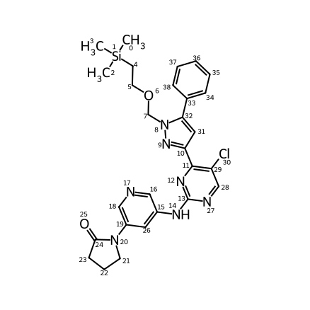 C[Si](C)(C)CCOCn1nc(-c2nc(Nc3cncc(N4CCCC4=O)c3)ncc2Cl)cc1-c1ccccc1